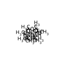 COc1cc(C)c(Oc2nc(NC(=O)C(C)(C)C)c(OC)cc2C)nc1NC(=O)C(C)(C)C